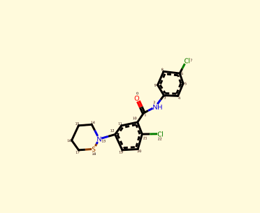 O=C(Nc1ccc(Cl)cc1)c1cc(N2CCCCS2)ccc1Cl